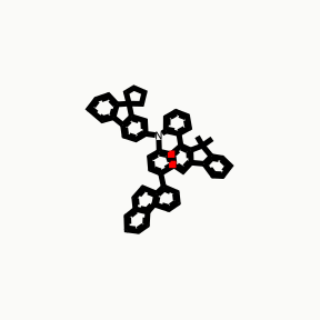 CC1(C)c2ccccc2-c2cccc(-c3ccccc3N(c3ccc(-c4cccc5c4ccc4ccccc45)cc3)c3ccc4c(c3)C3(CCCC3)c3ccccc3-4)c21